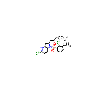 Cc1cccc(S(=O)(=O)n2c(CCCC(=O)O)cc3nc(Cl)ccc32)c1Cl